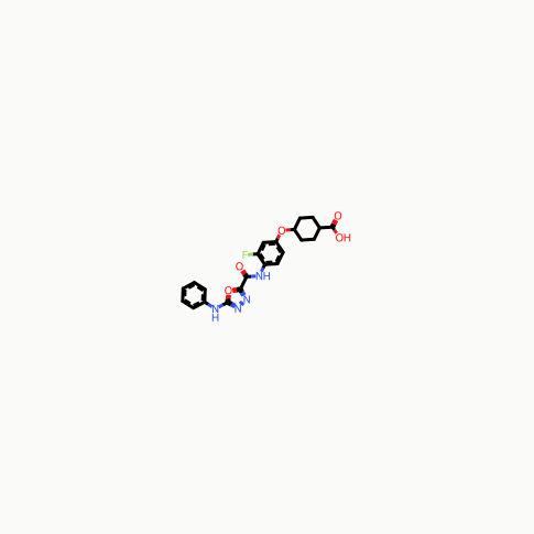 O=C(Nc1ccc(OC2CCC(C(=O)O)CC2)cc1F)c1nnc(Nc2ccccc2)o1